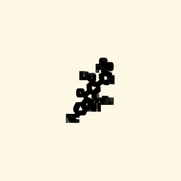 CCCCn1c2cc(-c3cncc(S(=O)(=O)F)c3)c(OCC)cc2c(=O)c2c3ccc(C#N)cc3[nH]c21